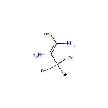 CCCC(N)=C(N)C(CCC)(CCC)CCC